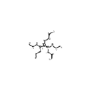 CCCCB(P(CCC)CCC)P(CCC)CCC